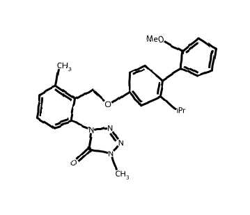 COc1ccccc1-c1ccc(OCc2c(C)cccc2-n2nnn(C)c2=O)cc1C(C)C